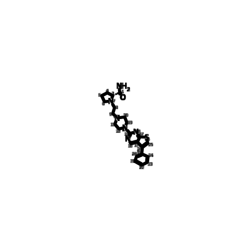 NC(=O)[C@H]1CCCN1CCN1CCN(c2ncc3c(-c4ccccc4)csc3n2)CC1